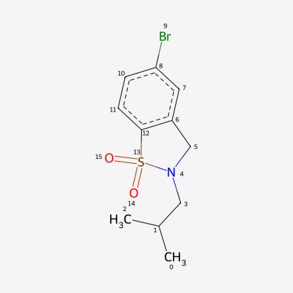 CC(C)CN1Cc2cc(Br)ccc2S1(=O)=O